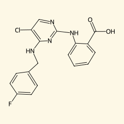 O=C(O)c1ccccc1Nc1ncc(Cl)c(NCc2ccc(F)cc2)n1